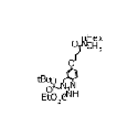 CCCCCCN(C)C(=O)CCCOc1ccc2c(c1)CN(CC(=O)OC(C)(C)C)C(NC(=O)OCC)=N2